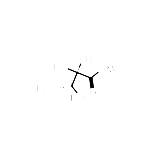 COC(=O)[C@@](C)(O)[C@H](O)C(=O)O